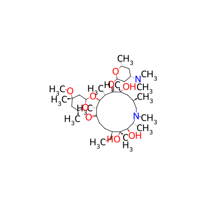 CC[C@H]1CCC(=O)[C@H](C)[C@@H](OC2C[C@@](C)(OC)C[C@H](C)O2)[C@H](C)[C@@H](OC2C[C@@H](N(C)C)C[C@@H](C)O2)[C@](C)(O)C[C@@H](C)CN(C)[C@H](C)[C@@H](O)[C@]1(C)O